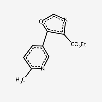 CCOC(=O)c1ncoc1-c1ccc(C)nc1